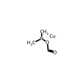 CN(C)OC=O.[Cu]